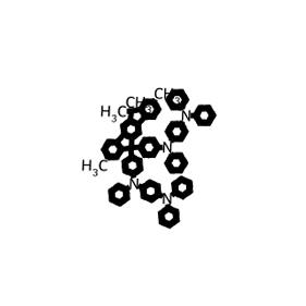 Cc1ccc2c(c1)C(C)(C)c1cc3c(cc1-2)C(c1ccc(N(c2ccccc2)c2ccc(N(c4ccccc4)c4ccccc4)cc2)cc1)(c1ccc(N(c2ccccc2)c2ccc(N(c4ccccc4)c4ccccc4)cc2)cc1)c1cc(C)ccc1-3